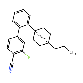 CCCC12CCC(c3ccccc3-c3ccc(C#N)c(F)c3)(CC1)CC2